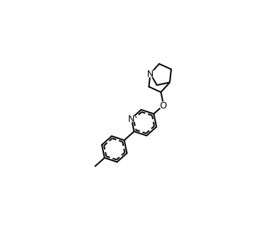 Cc1ccc(-c2ccc(OC3CN4CCC3C4)cn2)cc1